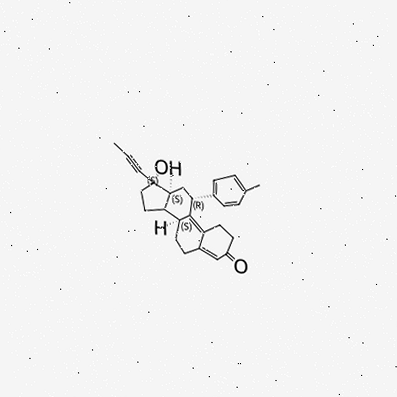 CC#C[C@]1(O)CCC2[C@@H]3CCC4=CC(=O)CCC4=C3[C@@H](c3ccc(C)cc3)C[C@@]21C